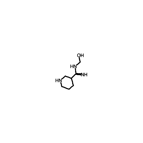 N=C(NCO)C1CCCNC1